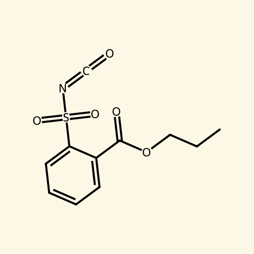 CCCOC(=O)c1ccccc1S(=O)(=O)N=C=O